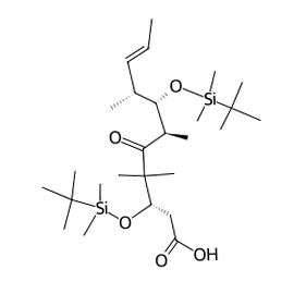 C/C=C/[C@@H](C)[C@H](O[Si](C)(C)C(C)(C)C)[C@@H](C)C(=O)C(C)(C)[C@H](CC(=O)O)O[Si](C)(C)C(C)(C)C